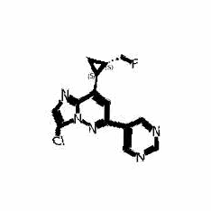 FC[C@H]1C[C@@H]1c1cc(-c2cncnc2)nn2c(Cl)cnc12